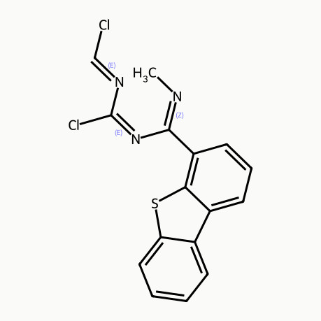 C\N=C(/N=C(Cl)\N=C\Cl)c1cccc2c1sc1ccccc12